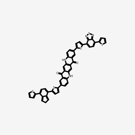 O=c1c2cc(-c3ccc(-c4ccc(-c5cccs5)c5c4=CCC=5)s3)ccc2[nH]c2cc3c(=O)c4cc(-c5ccc(-c6ccc(-c7cccs7)c7nsnc67)s5)ccc4[nH]c3cc12